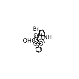 Cc1[nH]c2ccc(Br)cc2c1C(N(O)C=O)S(=O)(=O)c1ccccc1